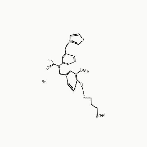 CCCCCCCCCCCCCCOc1ccc(CN(C(=O)CC)c2cccc(C[n+]3ccsc3)c2)cc1OC.[Br-]